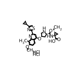 C=C[C@@H]1C[C@]1(NC(=O)[C@H]1C[C@@H](Oc2cc(-c3nc(C4CC4)cs3)nc3c(C)c(OC)ccc23)CN1)C(=O)O.Cl.Cl